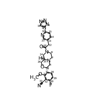 COc1c([C@H]2CN3CCN(C(=O)Cc4ccc(-n5cnnn5)nc4)C[C@H]3CO2)ccc(F)c1C#N